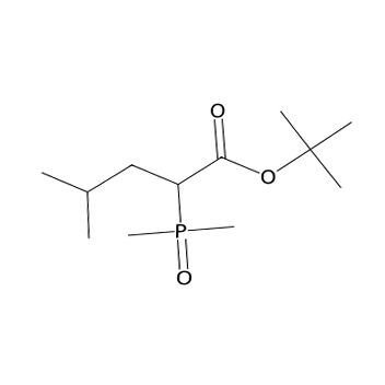 CC(C)CC(C(=O)OC(C)(C)C)P(C)(C)=O